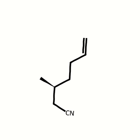 C=CCC[C@H](C)CC#N